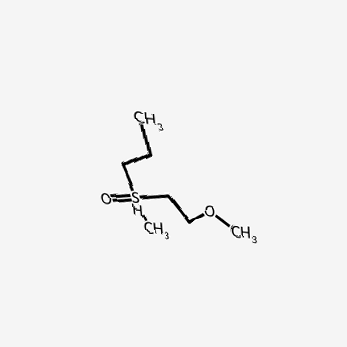 CCC[SH](C)(=O)CCOC